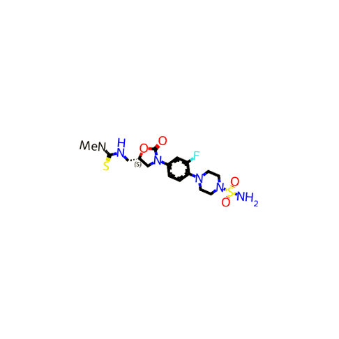 CNC(=S)NC[C@H]1CN(c2ccc(N3CCN(S(N)(=O)=O)CC3)c(F)c2)C(=O)O1